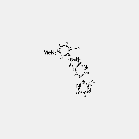 CNc1ccc(F)c(-n2cc3cc(-c4nccnc4C)cnc3n2)c1